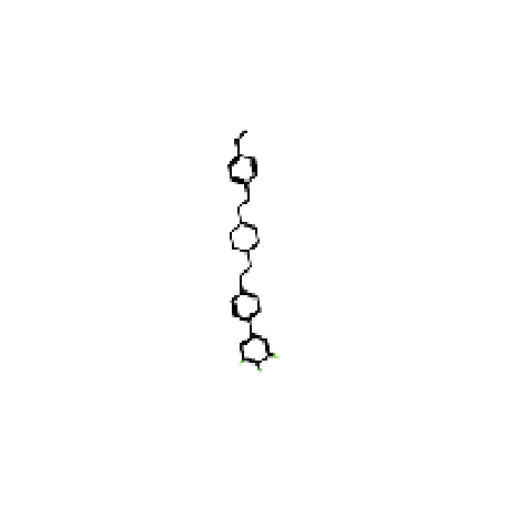 CCc1ccc(CCC2CCC(CCc3ccc(-c4cc(F)c(Cl)c(F)c4)cc3)CC2)cc1